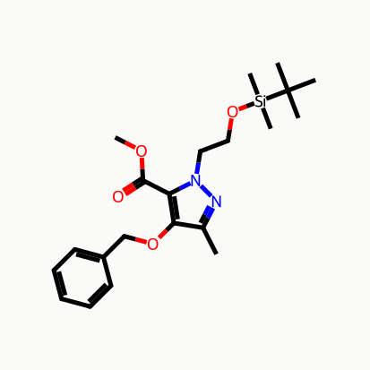 COC(=O)c1c(OCc2ccccc2)c(C)nn1CCO[Si](C)(C)C(C)(C)C